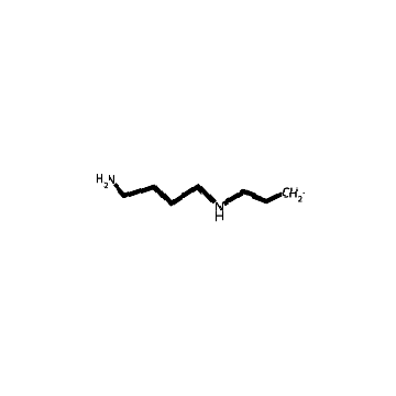 [CH2]CCNCCCCN